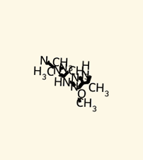 CCOc1nc(Nc2cn(C(C)(C)C#N)nc2C)nc2[nH]cc(C)c12